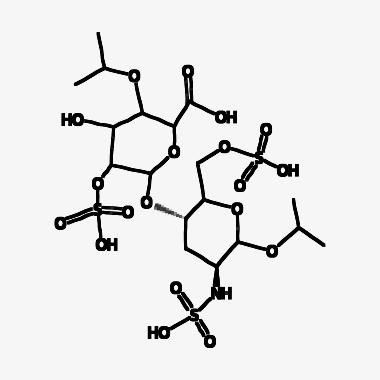 CC(C)OC1C(C(=O)O)OC(O[C@H]2C[C@H](NS(=O)(=O)O)C(OC(C)C)OC2COS(=O)(=O)O)C(OS(=O)(=O)O)C1O